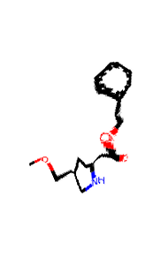 COC[C@@H]1CN[C@H](C(=O)OCc2ccccc2)C1